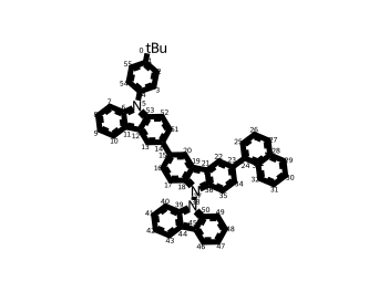 CC(C)(C)c1ccc(-n2c3ccccc3c3cc(-c4ccc5c(c4)c4cc(-c6cccc7ccccc67)ccc4n5-n4c5ccccc5c5ccccc54)ccc32)cc1